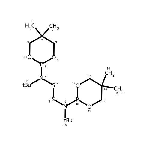 CC1(C)COP(N(SSN(P2OCC(C)(C)CO2)C(C)(C)C)C(C)(C)C)OC1